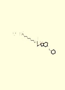 CNC(=O)C(=O)CCCCCCNC(=O)c1cc2cc(OCc3ccccc3)ccc2[nH]1